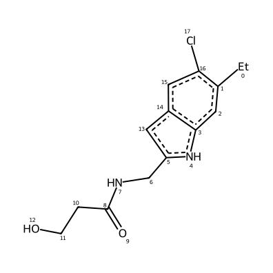 CCc1cc2[nH]c(CNC(=O)CCO)cc2cc1Cl